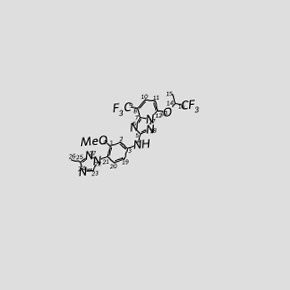 COc1cc(Nc2nc3c(C(F)(F)F)ccc(OC(C)C(F)(F)F)n3n2)ccc1-n1cnc(C)n1